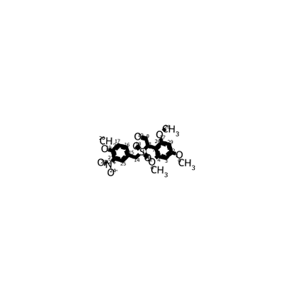 COc1cc(OC)c(C(C=O)S(=O)(=O)Cc2ccc(OC)c([N+](=O)[O-])c2)c(OC)c1